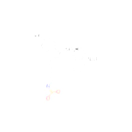 CC(C)c1ccc2c(CCCCN=S(=O)=O)cc(S(=O)(=O)O)c-2cc1.[NaH].c1ccc2c(c1)CCCC2